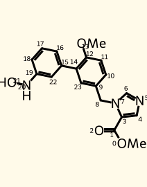 COC(=O)c1cncn1Cc1ccc(OC)c(-c2cccc(NO)c2)c1